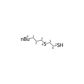 CCCCCCCSCCS